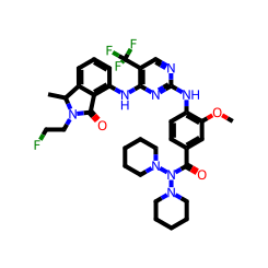 COc1cc(C(=O)N(N2CCCCC2)N2CCCCC2)ccc1Nc1ncc(C(F)(F)F)c(Nc2cccc3c2C(=O)N(CCF)C3C)n1